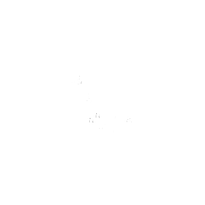 C[Si](C)(C)CCOCn1ncc2ccc(Br)cc21